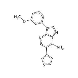 COc1cccc(-c2cnn3c(N)c(-c4ccsc4)cnc23)c1